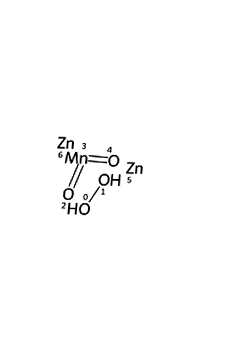 OO.[O]=[Mn]=[O].[Zn].[Zn]